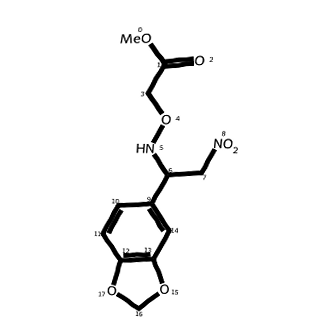 COC(=O)CONC(C[N+](=O)[O-])c1ccc2c(c1)OCO2